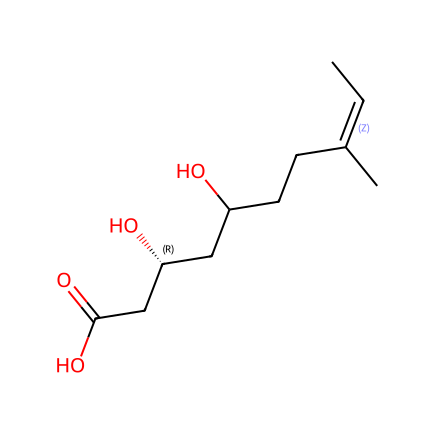 C/C=C(/C)CCC(O)C[C@@H](O)CC(=O)O